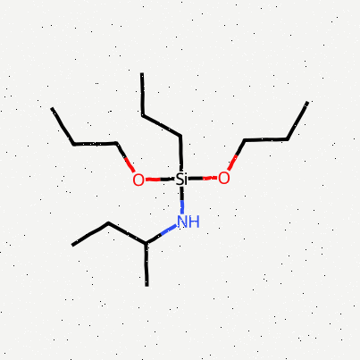 CCCO[Si](CCC)(NC(C)CC)OCCC